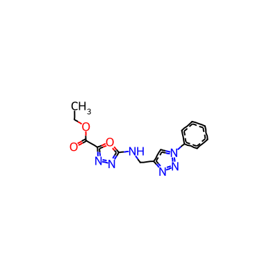 CCOC(=O)c1nnc(NCc2cn(-c3ccccc3)nn2)o1